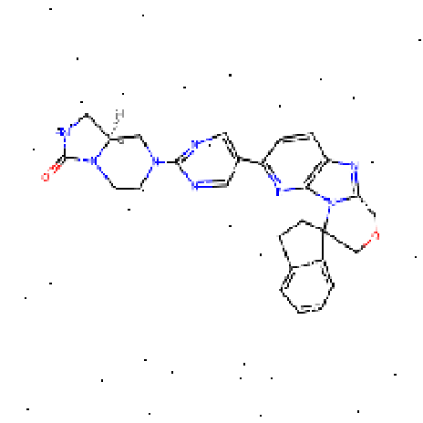 O=C1NC[C@H]2CN(c3ncc(-c4ccc5nc6n(c5n4)C4(CCc5ccccc54)COC6)cn3)CCN12